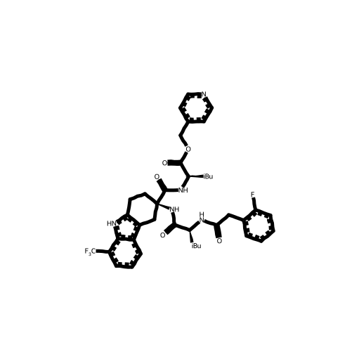 CCC(C)[C@H](NC(=O)Cc1ccccc1F)C(=O)N[C@]1(C(=O)N[C@@H](C(=O)OCc2ccncc2)C(C)CC)CCc2[nH]c3c(C(F)(F)F)cccc3c2C1